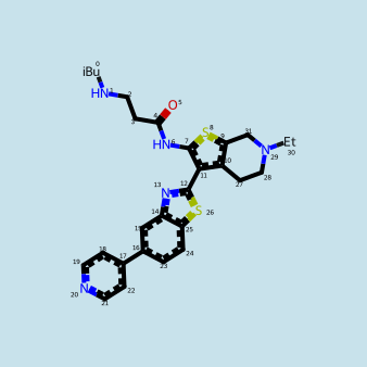 CCC(C)NCCC(=O)Nc1sc2c(c1-c1nc3cc(-c4ccncc4)ccc3s1)CCN(CC)C2